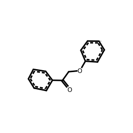 O=C(COc1cc[c]cc1)c1ccccc1